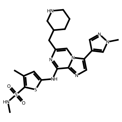 CNS(=O)(=O)c1sc(Nc2nc(CC3CCCNC3)cn3c(-c4cnn(C)c4)cnc23)cc1C